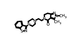 Cc1c2c(nn1C)CCN(CCN1CCN(c3nsc4ccccc34)CC1)C2=O